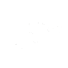 CO[C@H]1CC[C@H](Nc2nc3c(F)cnc(NC(=O)C4CC4)c3s2)CC1